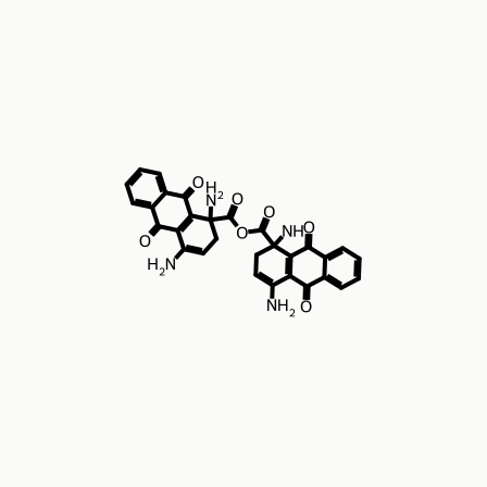 NC1=CCC(N)(C(=O)OC(=O)C2(N)CC=C(N)C3=C2C(=O)c2ccccc2C3=O)C2=C1C(=O)c1ccccc1C2=O